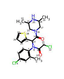 Cc1cc(Cl)ccc1N(C(=O)CCl)C(C(=O)N1CC(C)NC(C)C1)c1cccs1